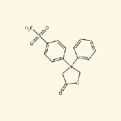 CS(=O)(=O)c1ccc([Si]2(c3ccccc3)COC(=O)C2)cc1